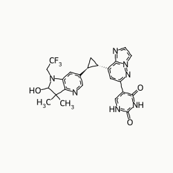 CC1(C)c2ncc([C@H]3C[C@@H]3c3cc(-c4c[nH]c(=O)[nH]c4=O)nn4ccnc34)cc2N(CC(F)(F)F)C1O